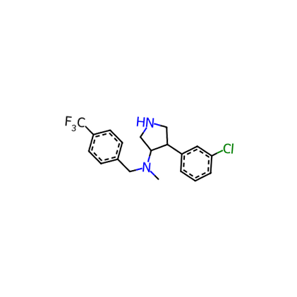 CN(Cc1ccc(C(F)(F)F)cc1)C1CNCC1c1cccc(Cl)c1